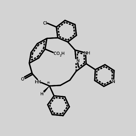 O=C1N[C@@H](c2ccccc2)CCc2nc([nH]c2-c2ccncc2)-c2cccc(Cl)c2-c2ccc1cc2C(=O)O